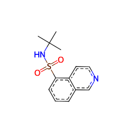 CC(C)(C)NS(=O)(=O)c1cccc2cnccc12